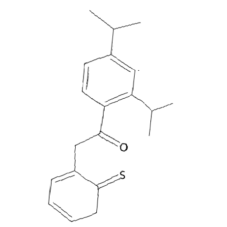 CC(C)c1[c]c(C(C)C)c(C(=O)CC2=CC=CCC2=S)cc1